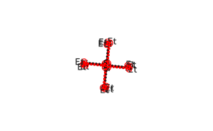 CCO[Si](CCCCCCCCCCC[Si]1(C)O[Si](C)(CCCCCCCCCCC[Si](OCC)(OCC)OCC)O[Si](C)(CCCCCCCCCCC[Si](OCC)(OCC)OCC)O[Si](C)(CCCCCCCCCCC[Si](OCC)(OCC)OCC)O1)(OCC)OCC